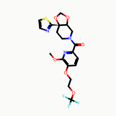 COc1nc(C(=O)N2CC[C@]3(c4nccs4)OCOC3C2)ccc1OCCOC(F)(F)F